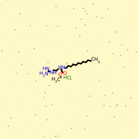 CCCCCCCCCCCCN[C@@H](CCCNC(=N)N)C(=O)OCC.Cl